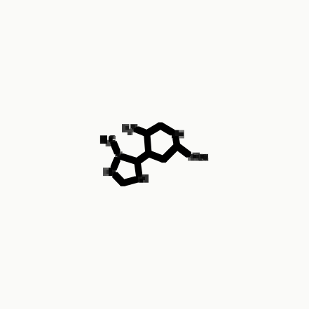 CCCCCCC1CC(C2NCNN2C)C(N)CN1